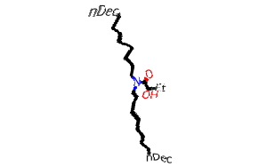 CCCCCCCCCCCCCCCCCCN(CCCCCCCCCCCCCCCCCC)C(=O)C(O)CC